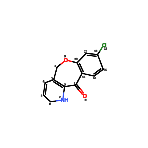 O=C1C2=C(C=CCN2)COc2cc(Cl)ccc21